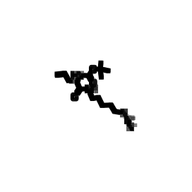 C=CC[C@H](NC(=O)OC(C)(C)C)C(=O)NCCCCCN=[N+]=[N-]